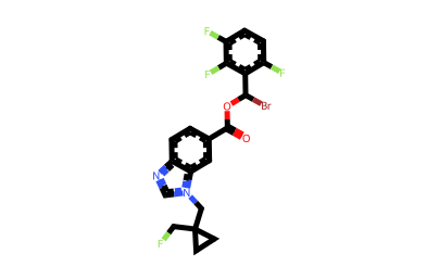 O=C(OC(Br)c1c(F)ccc(F)c1F)c1ccc2ncn(CC3(CF)CC3)c2c1